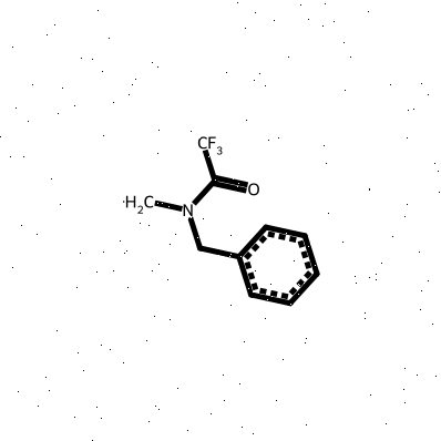 [CH2]N(Cc1ccccc1)C(=O)C(F)(F)F